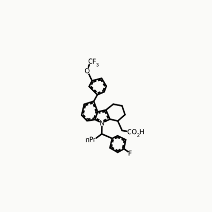 CCCC(c1ccc(F)cc1)n1c2c(c3c(-c4cccc(OC(F)(F)F)c4)cccc31)CCCC2CC(=O)O